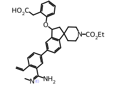 C=Cc1ccc(-c2ccc3c(c2)C(Oc2ccccc2CC(=O)O)CC32CCN(C(=O)OCC)CC2)cc1/C(N)=N\C